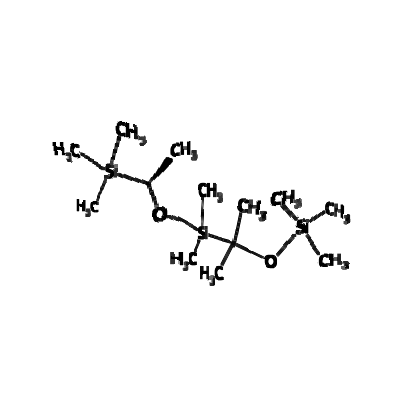 C[C@@H](O[Si](C)(C)C(C)(C)O[Si](C)(C)C)[Si](C)(C)C